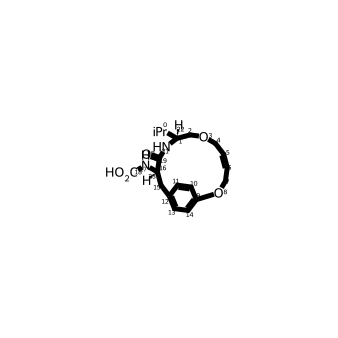 CC(C)[C@H]1COC/C=C\COc2ccc(cc2)C[C@@H](NC(=O)O)C(=O)N1